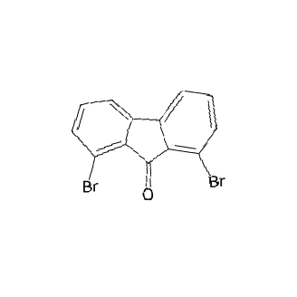 O=C1c2c(Br)cccc2-c2cccc(Br)c21